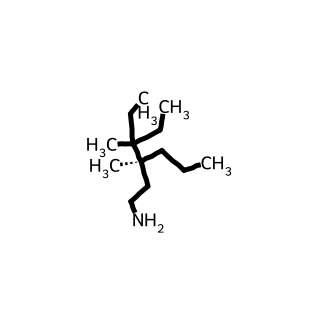 CCC[C@@](C)(CCN)C(C)(CC)CC